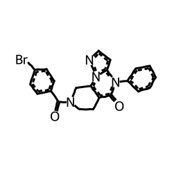 O=C(c1ccc(Br)cc1)N1CCc2c(n3nccc3n(-c3ccccc3)c2=O)C1